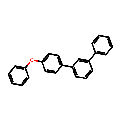 c1ccc(Oc2ccc(-c3cccc(-c4ccccc4)c3)cc2)cc1